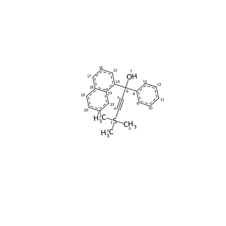 CS(C)(C)C#CC(O)(c1ccccc1)c1cccc2ccccc12